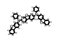 c1ccc(N(c2ccc3c(c2)oc2ccccc23)c2ccc3c(n2)oc2nc(N(c4ccccc4)c4ccc5c(c4)oc4ccccc45)ncc23)cc1